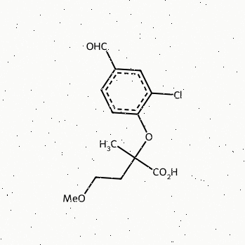 COCCC(C)(Oc1ccc(C=O)cc1Cl)C(=O)O